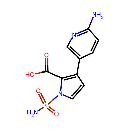 Nc1ccc(-c2ccn(S(N)(=O)=O)c2C(=O)O)cn1